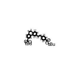 CC(C)(C)OC(=O)c1ccc(/C=C\c2ccc(/C=C/c3ccc(C(=O)OC(C)(C)C)cc3)cc2)cc1